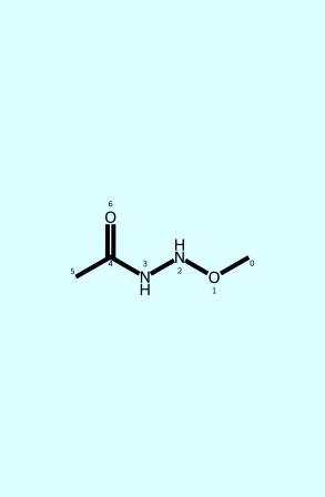 CONNC(C)=O